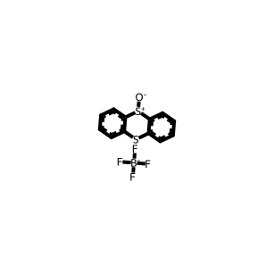 F[B-](F)(F)F.[O-][S+]1c2ccccc2Sc2ccccc21